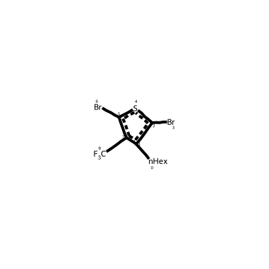 CCCCCCc1c(Br)sc(Br)c1C(F)(F)F